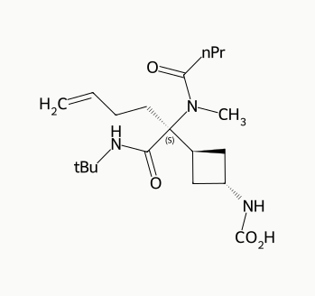 C=CCC[C@@](C(=O)NC(C)(C)C)([C@H]1C[C@H](NC(=O)O)C1)N(C)C(=O)CCC